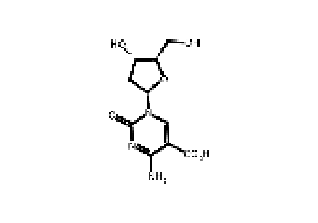 Nc1nc(=O)n([C@H]2C[C@H](O)[C@@H](CO)O2)cc1C(=O)O